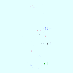 COc1cc(S(=O)(=O)Nc2ccc(C(C)=O)cc2)c(Br)cc1Oc1cncc(Cl)c1